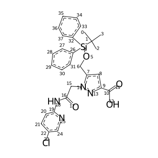 CC(C)(C)[Si](OCc1cc(C(=O)O)nn1CC(=O)Nc1ccc(Cl)cn1)(c1ccccc1)c1ccccc1